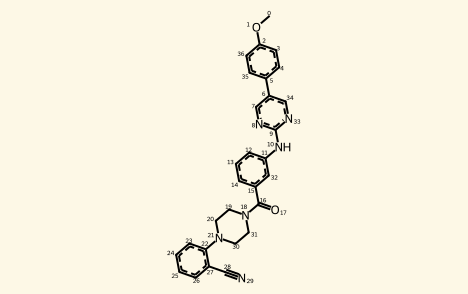 COc1ccc(-c2cnc(Nc3cccc(C(=O)N4CCN(c5ccccc5C#N)CC4)c3)nc2)cc1